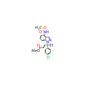 CCC(C=CC(=O)OC)(c1ccc(Cl)cc1)n1ncc2c(NS(C)(=O)=O)cccc21